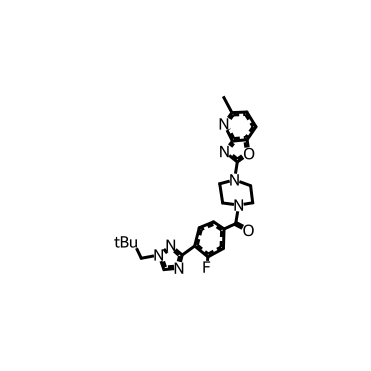 Cc1ccc2oc(N3CCN(C(=O)c4ccc(-c5ncn(CC(C)(C)C)n5)c(F)c4)CC3)nc2n1